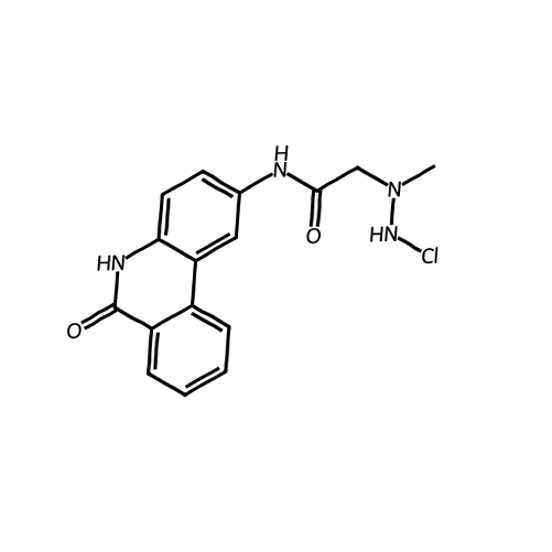 CN(CC(=O)Nc1ccc2[nH]c(=O)c3ccccc3c2c1)NCl